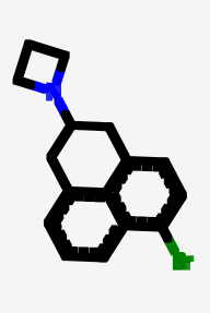 Brc1ccc2c3c(cccc13)CC(N1CCC1)C2